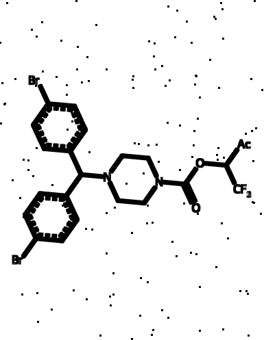 CC(=O)C(OC(=O)N1CCN(C(c2ccc(Br)cc2)c2ccc(Br)cc2)CC1)C(F)(F)F